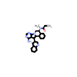 C=CC(=O)N(C)C1Cn2c(c(-c3cnc4ccccc4c3)c3c(N)ncnc32)-c2ccccc21